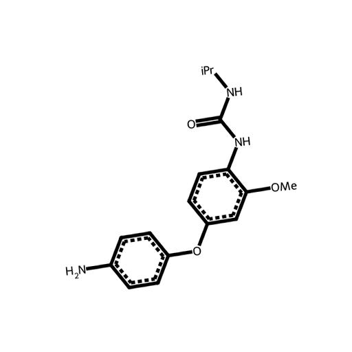 COc1cc(Oc2ccc(N)cc2)ccc1NC(=O)NC(C)C